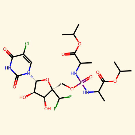 CC(C)OC(=O)C(C)NP(=O)(NC(C)C(=O)OC(C)C)OC[C@@]1(C(F)F)O[C@@H](n2cc(Cl)c(=O)[nH]c2=O)[C@H](O)[C@@H]1O